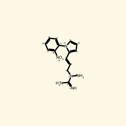 N=C(N)N(N)CC=Cc1cccn1-c1ccccc1[N+](=O)[O-]